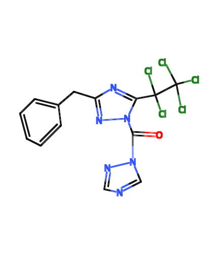 O=C(n1cncn1)n1nc(Cc2ccccc2)nc1C(Cl)(Cl)C(Cl)(Cl)Cl